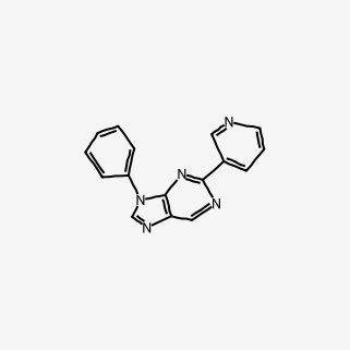 c1ccc(-n2cnc3cnc(-c4cccnc4)nc32)cc1